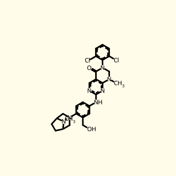 CN1CN(c2c(Cl)cccc2Cl)C(=O)c2cnc(Nc3ccc(N4CC5CCC(C4)N5C)c(CO)c3)nc21